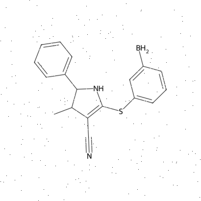 Bc1cccc(SC2=C(C#N)C(C)C(c3ccccc3)N2)c1